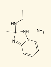 CCNC1(C)N=C2C=CC=CN2N1.N